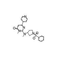 CN(c1nc(-c2ccncc2)cc(=O)n1C)C1CCN(S(=O)(=O)c2ccccc2)C1